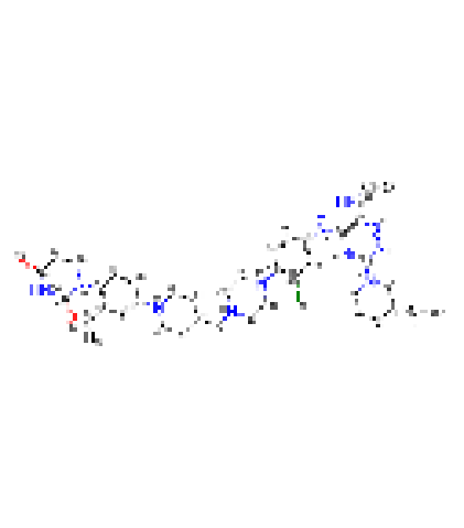 CC(=O)N[C@@H]1CCCN(c2nnc(NC=O)c(Nc3ccc(N4CCN(CC5CCN(c6ccc(N7CCC(=O)NC7=O)c(C)c6)CC5)CC4)c(F)c3)n2)C1